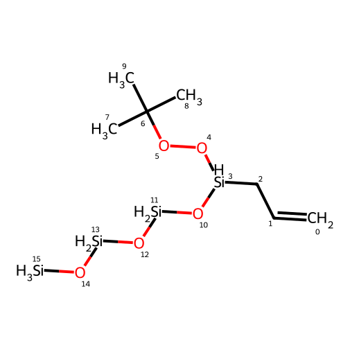 C=CC[SiH](OOC(C)(C)C)O[SiH2]O[SiH2]O[SiH3]